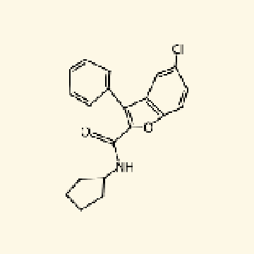 O=C(NC1CCCC1)c1oc2ccc(Cl)cc2c1-c1ccccc1